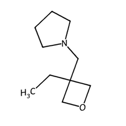 CCC1(CN2CCCC2)COC1